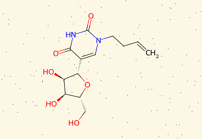 C=CCCn1cc([C@@H]2O[C@H](CO)[C@@H](O)[C@H]2O)c(=O)[nH]c1=O